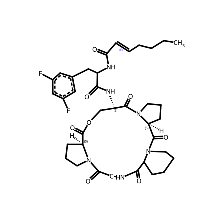 CCCC/C=C/C(=O)NC(Cc1cc(F)cc(F)c1)C(=O)N[C@H]1COC(=O)[C@@H]2CCCN2C(=O)CNC(=O)C2CCCCN2C(=O)[C@@H]2CCCN2C1=O